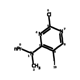 CCCN(C)c1nc(Cl)ncc1I